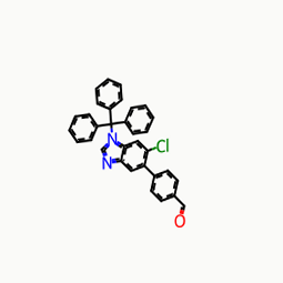 O=Cc1ccc(-c2cc3ncn(C(c4ccccc4)(c4ccccc4)c4ccccc4)c3cc2Cl)cc1